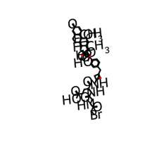 C[C@]12C=CC(=O)C=C1CC[C@H]1[C@@H]3C[C@H]4O[C@@H](c5ccc(CC67CC(NC(=O)C(CCC(=O)O)NC(=O)CNC(=O)CBr)(C6)C7)cc5)O[C@@]4(C(=O)CO)[C@@]3(C)C[C@H](O)[C@@]12F